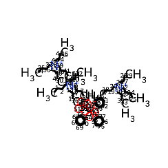 CCCC[N+](CCCC)(CCCC)CCCC.CCCC[N+](CCCC)(CCCC)CCCC.CCCC[N+](CCCC)(CCCC)CCCC.[O-][Si]([O-])([O-])O[Si](Oc1ccccc1)(Oc1ccccc1)Oc1ccccc1